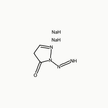 N=NN1N=CCC1=O.[NaH].[NaH]